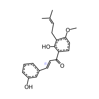 COc1ccc(C(=O)/C=C/c2cccc(O)c2)c(O)c1CC=C(C)C